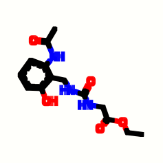 CCOC(=O)CNC(=O)NCc1c(O)cccc1NC(C)=O